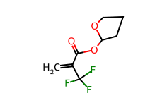 C=C(C(=O)OC1CCCO1)C(F)(F)F